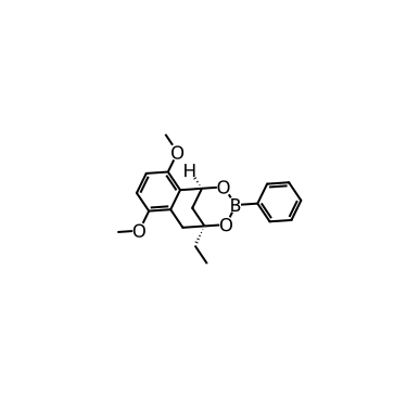 CC[C@]12Cc3c(OC)ccc(OC)c3[C@H](C1)OB(c1ccccc1)O2